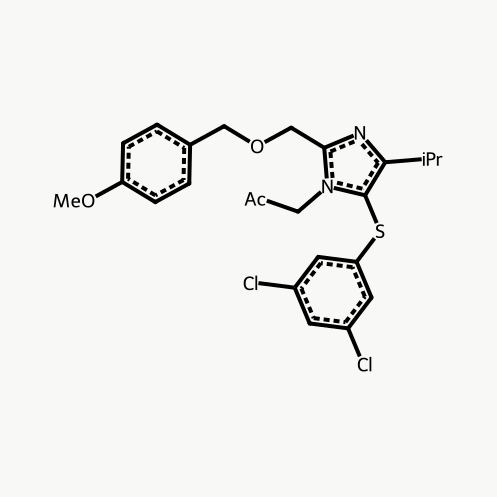 COc1ccc(COCc2nc(C(C)C)c(Sc3cc(Cl)cc(Cl)c3)n2CC(C)=O)cc1